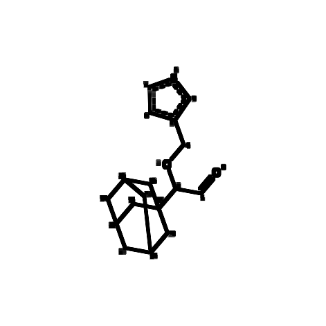 O=CC(OCc1ccsc1)C12CC3CC(CC(C3)C1)C2